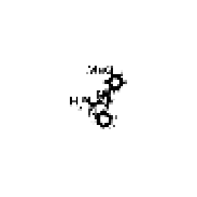 COc1cccc(-c2cn3c(n2)c(N)nc2ccccc23)c1